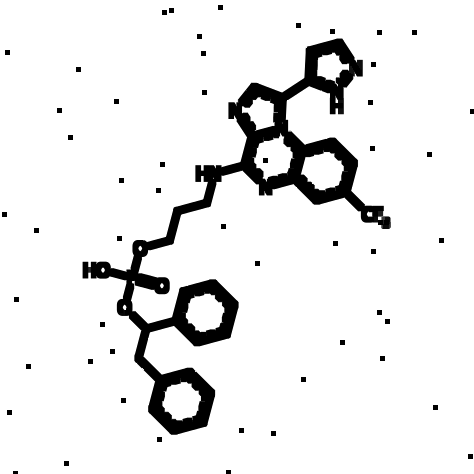 O=P(O)(OCCCNc1nc2cc(C(F)(F)F)ccc2n2c(-c3ccn[nH]3)cnc12)OC(Cc1ccccc1)c1ccccc1